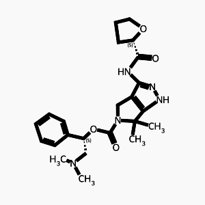 CN(C)C[C@@H](OC(=O)N1Cc2c(NC(=O)[C@@H]3CCCO3)n[nH]c2C1(C)C)c1ccccc1